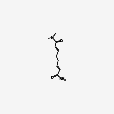 CN(C)C(=O)C=CCCC=CC(N)=O